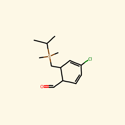 CC(C)S(C)(C)CC1C=C(Cl)C=CC1C=O